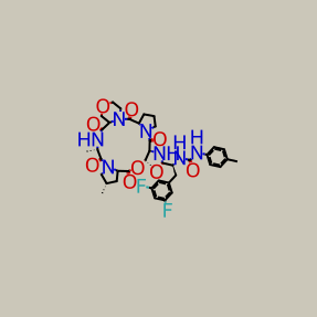 Cc1ccc(NC(=O)N[C@@H](Cc2cc(F)cc(F)c2)C(=O)N[C@@H]2C(=O)N3CCCC3C(=O)N3CCOCC3C(=O)N[C@@H](C)C(=O)N3C[C@@H](C)CC3C(=O)O[C@H]2C)cc1